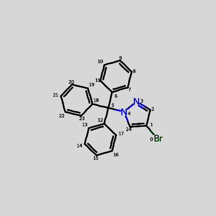 Brc1cnn(C(c2ccccc2)(c2ccccc2)c2ccccc2)c1